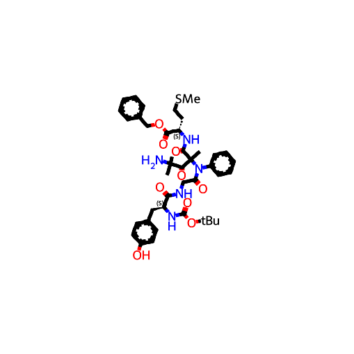 CSCC[C@H](NC(=O)C(C)(C(=O)C(C)(C)N)N(C(=O)CNC(=O)[C@H](Cc1ccc(O)cc1)NC(=O)OC(C)(C)C)c1ccccc1)C(=O)OCc1ccccc1